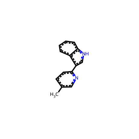 Cc1ccc(-c2c[nH]c3ccccc23)nc1